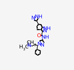 CN(C)CCC(c1ccccc1)n1cc(NC(=O)c2n[nH]c3cc(-c4cn[nH]c4)ccc23)cn1